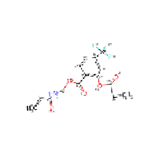 C=CC(=O)NCOC(=O)c1ccc(C(F)(F)F)cc1OC(=O)C=C